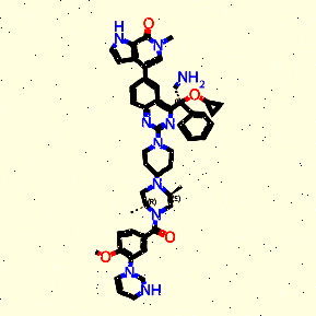 COc1ccc(C(=O)N2C[C@H](C)N(C3CCN(c4nc([C@@](CN)(OC5CC5)c5ccccc5)c5cc(-c6cn(C)c(=O)c7[nH]ccc67)ccc5n4)CC3)C[C@H]2C)cc1N1C=CCNC1